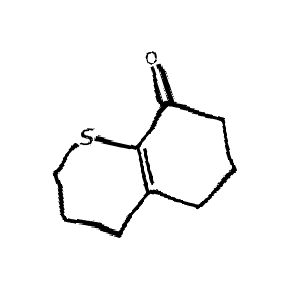 O=C1CCCC2=C1SCCC2